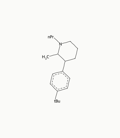 CCCN1CCCC(c2ccc(C(C)(C)C)cc2)C1C